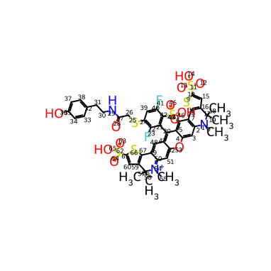 CN1c2cc3c(cc2-c2sc(S(=O)(=O)O)cc2C1(C)C)C(c1c(F)c(SCC(=O)NCCc2ccc(O)cc2)cc(F)c1S(=O)(=O)O)=c1cc2c(cc1O3)=[N+](C)C(C)(C)c1cc(S(=O)(=O)O)sc1-2